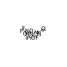 CC(C)Oc1c(NC(=O)c2coc(C(F)F)n2)cn2cc(C34COC(C)(C3)C4)nc2c1F